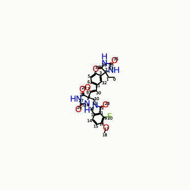 CCC1(c2ccc3oc([C@]4(CN5Cc6ccc(OC)c(F)c6C5=O)NC(=O)NC4=O)cc3c2)NC(=O)NC1=O